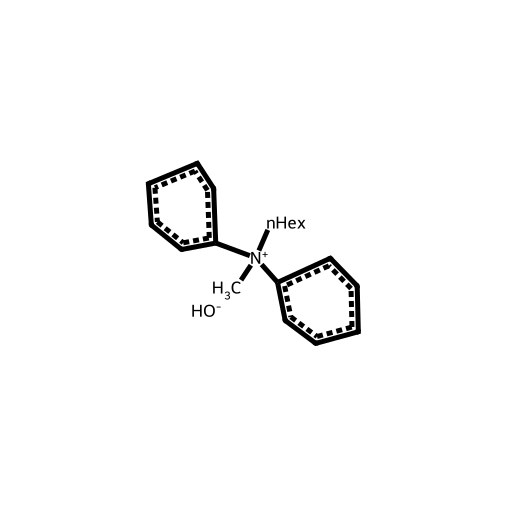 CCCCCC[N+](C)(c1ccccc1)c1ccccc1.[OH-]